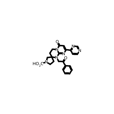 O=C(CN1c2nc(-c3ccncn3)cc(=O)n2CCC12CCN(C(=O)O)C2)c1ccccc1